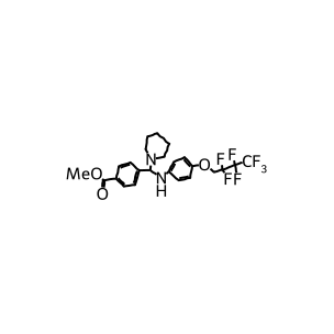 COC(=O)c1ccc(C(Nc2ccc(OCC(F)(F)C(F)(F)C(F)(F)F)cc2)N2CCCCC2)cc1